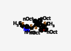 CCCCCCCCc1ccc(C2(c3ccc(CCCCCCCC)cc3)c3cc4c(cc3-c3sc(C)cc32)C(c2ccc(CCCCCCCC)cc2)(c2ccc(CCCCCCCC)cc2)c2cc(-c3ccc(-c5ccc(-c6ccc(C)s6)c6nn(CCCCCC)nc56)s3)sc2-4)cc1